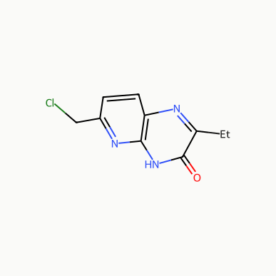 CCc1nc2ccc(CCl)nc2[nH]c1=O